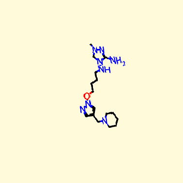 CN1CN(NCCCCOn2cc(CN3CCCCC3)cn2)C(N)=N1